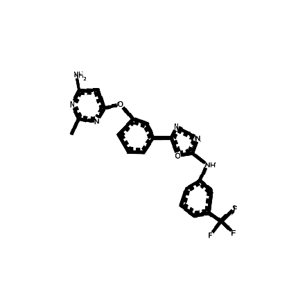 Cc1nc(N)cc(Oc2cccc(-c3nnc(Nc4cccc(C(F)(F)F)c4)o3)c2)n1